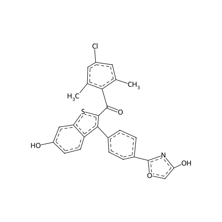 Cc1cc(Cl)cc(C)c1C(=O)c1sc2cc(O)ccc2c1-c1ccc(-c2nc(O)co2)cc1